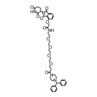 O=C(COc1cccc2c1C(=O)N(C1CCC(=O)NC1=O)C2=O)NCCOCCOCCOCCOCCC(=O)N1CCN(C(c2ccccc2)c2ccccc2)CC1